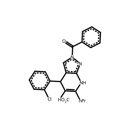 CCCC1=C(C(=O)O)C(c2ccccc2Cl)c2cn(C(=O)c3ccccc3)nc2N1